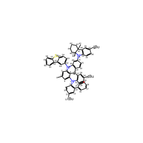 Cc1cc2c3c(c1)N(c1ccc(C(C)(C)C)cc1-c1ccccc1)c1ccc(C(C)(C)C)cc1B3c1ccc(N3c4ccc(C(C)(C)C)cc4C4(C)CCCCC34C)cc1N2c1ccc2sc3ccccc3c2c1